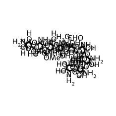 CC=O.COC(=O)N[C@H]1[C@H](O[C@H]2[C@H](O)[C@@H](N)[C@H](O[C@H]3[C@H](O)[C@@H](N)[C@H](O)O[C@@H]3CO)O[C@@H]2CO)O[C@H](CO)[C@@H](O[C@@H]2O[C@H](CO)[C@@H](O[C@@H]3O[C@H](CO)[C@@H](O[C@@H]4O[C@H](CO)[C@@H](O[C@@H]5O[C@H](CO)[C@@H](O[C@@H]6O[C@H](CO)[C@@H](O[C@@H]7O[C@H](CO)[C@@H](O)[C@H](O)[C@H]7N)[C@H](O)[C@H]6N)[C@H](O)[C@H]5N)[C@H](O)[C@H]4N)[C@H](O)[C@H]3N)[C@H](O)[C@H]2N)[C@@H]1O